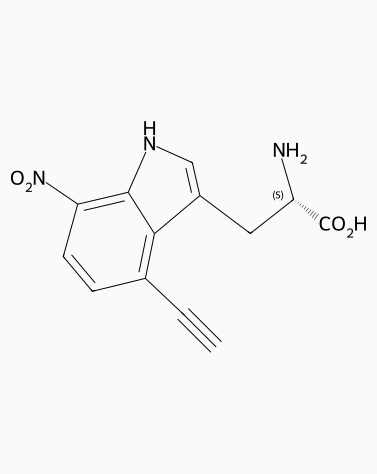 C#Cc1ccc([N+](=O)[O-])c2[nH]cc(C[C@H](N)C(=O)O)c12